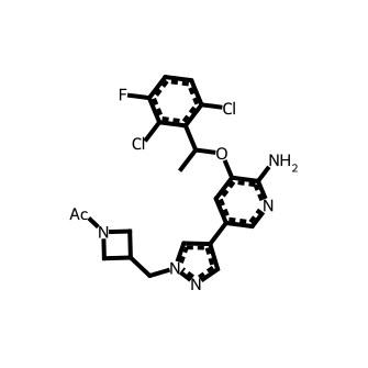 CC(=O)N1CC(Cn2cc(-c3cnc(N)c(OC(C)c4c(Cl)ccc(F)c4Cl)c3)cn2)C1